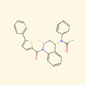 CC(=O)N(c1ccccc1)[C@H]1C[C@@H](C)N(C(=O)c2ccc(-c3ccccc3)s2)c2ccccc21